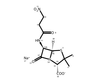 CC1(C)S[C@@H]2[C@H](NC(=O)CC[N+](=O)[O-])C(=O)N2[C@H]1C(=O)[O-].[Na+]